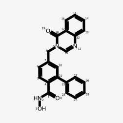 O=C(NO)c1ccc(Cn2cnc3ccccc3c2=O)cc1-c1ccccc1